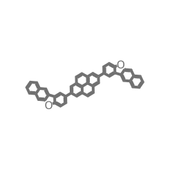 c1ccc2cc3c(cc2c1)oc1ccc(-c2cc4ccc5cc(-c6ccc7oc8cc9ccccc9cc8c7c6)cc6ccc(c2)c4c56)cc13